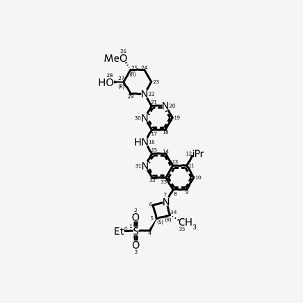 CCS(=O)(=O)C[C@H]1CN(c2ccc(C(C)C)c3cc(Nc4ccnc(N5CC[C@@H](OC)[C@H](O)C5)n4)ncc23)[C@@H]1C